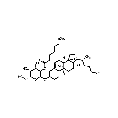 CCCCCCCCCCCCCCCC(=O)O[C@H]1C(OC2CC[C@@]3(C)C(=CC[C@H]4[C@@H]5CC[C@H]([C@H](C)CCCC(C)C)[C@@]5(C)CC[C@@H]43)C2)O[C@H](CO)[C@H](O)[C@@H]1O